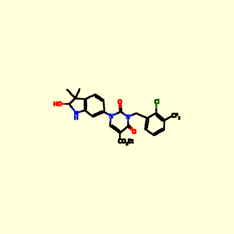 CCOC(=O)c1cn(-c2ccc3c(c2)NC(O)C3(C)C)c(=O)n(Cc2cccc(C(F)(F)F)c2Cl)c1=O